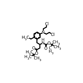 CCc1ccc(N(CCCl)CCCl)cc1CC(CC(=O)OC(C)(C)C)NC(=O)OC(C)(C)C